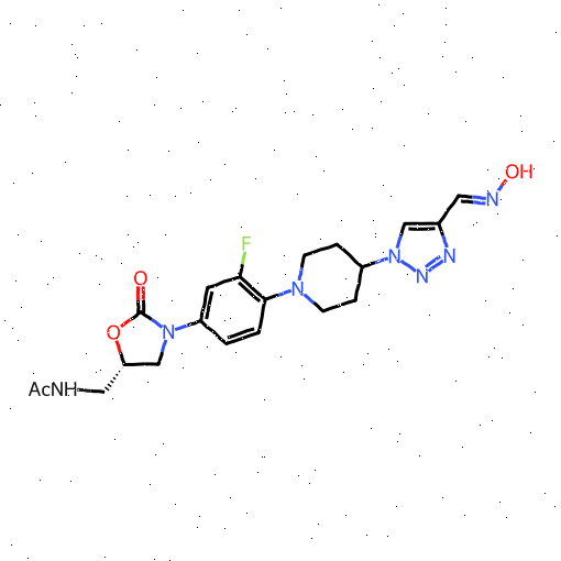 CC(=O)NC[C@H]1CN(c2ccc(N3CCC(n4cc(C=NO)nn4)CC3)c(F)c2)C(=O)O1